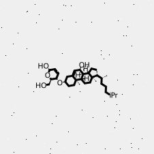 CC(C)CCC[C@@H](C)[C@H]1CC[C@H]2[C@@H]3[C@@H](O)C=C4C[C@@H](O[C@H]5C=C[C@@H](O)O[C@@H]5CO)CC[C@]4(C)[C@H]3CC[C@]12C